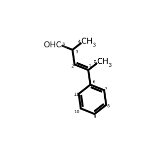 CC(=CC(C)C=O)c1ccccc1